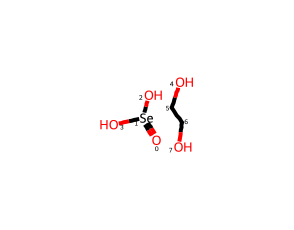 O=[Se](O)O.OCCO